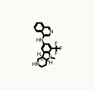 CN1c2c(cc(Nc3cncc4ccccc34)cc2C(F)(F)F)[C@@H]2CNCC[C@@H]21